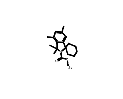 Cc1cc(C)c2c(c1)C1(CCCCC1)N(C(=O)OC(C)(C)C)C2(C)C